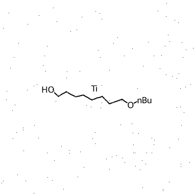 CCCCOCCCCCCCCO.[Ti]